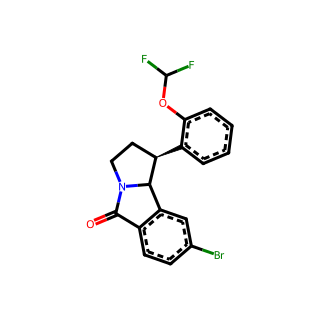 O=C1c2ccc(Br)cc2C2[C@H](c3ccccc3OC(F)F)CCN12